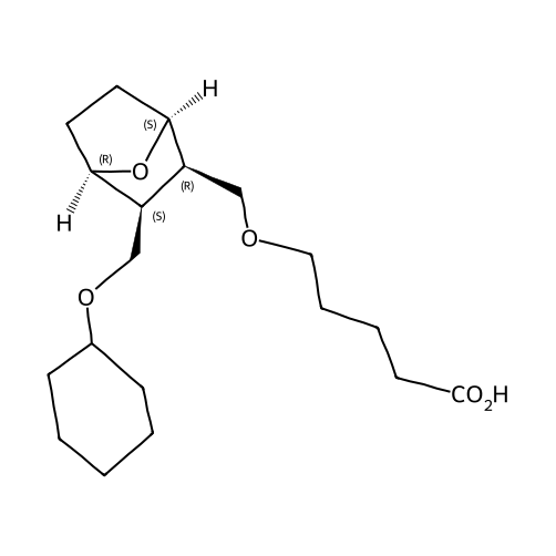 O=C(O)CCCCOC[C@H]1[C@@H](COC2CCCCC2)[C@H]2CC[C@@H]1O2